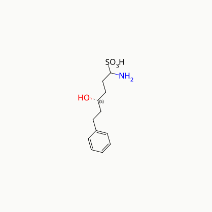 NC(CC[C@@H](O)CCc1ccccc1)S(=O)(=O)O